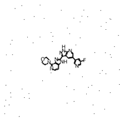 Fc1cncc(-c2cnc3[nH]nc(-c4nc5c(N6CCOCC6)nccc5[nH]4)c3c2)c1